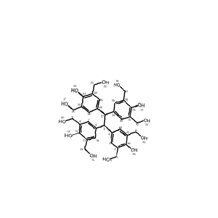 OCc1cc(C(c2cc(CO)c(O)c(CO)c2)C(c2cc(CO)c(O)c(CO)c2)c2cc(CO)c(O)c(CO)c2)cc(CO)c1O